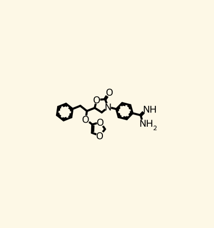 N=C(N)c1ccc(N2CC(C(Cc3ccccc3)OC3=COCO3)OC2=O)cc1